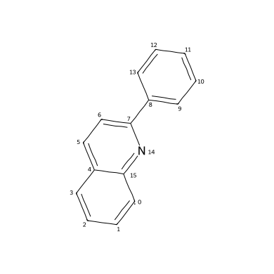 [c]1cccc2ccc(-c3ccccc3)nc12